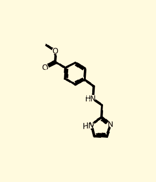 COC(=O)c1ccc(CNCc2ncc[nH]2)cc1